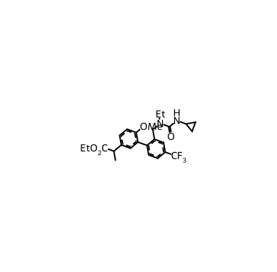 CCOC(=O)C(C)c1ccc(OC)c(-c2ccc(C(F)(F)F)cc2CN(CC)C(=O)NC2CC2)c1